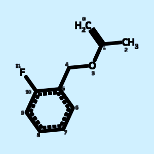 C=C(C)OCc1ccccc1F